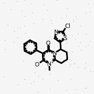 C[n+]1c([O-])c(-c2ccccc2)c(=O)n2c1CCCC2c1cnc(Cl)s1